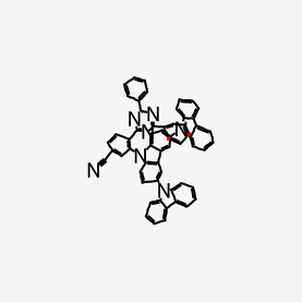 N#Cc1ccc(-c2nc(-c3ccccc3)nc(-c3ccccc3)n2)c(-n2c3ccc(-n4c5ccccc5c5ccccc54)cc3c3cc(-n4c5ccccc5c5ccccc54)ccc32)c1